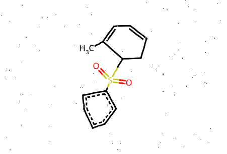 CC1=CC=CCC1S(=O)(=O)c1ccccc1